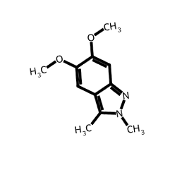 COc1cc2nn(C)c(C)c2cc1OC